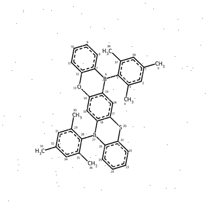 Cc1cc(C)c(B2c3ccccc3Oc3cc4c(cc32)Sc2ccccc2B4c2c(C)cc(C)cc2C)c(C)c1